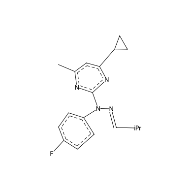 Cc1cc(C2CC2)nc(N(N=CC(C)C)c2ccc(F)cc2)n1